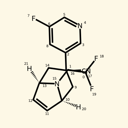 N#C[C@@]1(c2cncc(F)c2)C[C@H]2C=C[C@@H](C1)N2CC(F)F